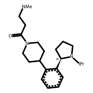 CNCCC(=O)N1CCC(c2ccccc2[C@H]2CCCN2C(C)C)CC1